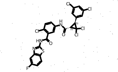 O=C(Nc1nc2cc(F)ccc2s1)c1cc(NC(=O)[C@@H]2[C@@H](c3cc(Cl)cc(Cl)c3)C2(Cl)Cl)ccc1Cl